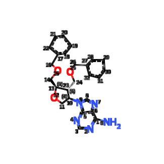 Nc1ncnc2c1ncn2[C@H]1CO[C@@H](COCc2ccccc2)[C@@H]1COCc1ccccc1